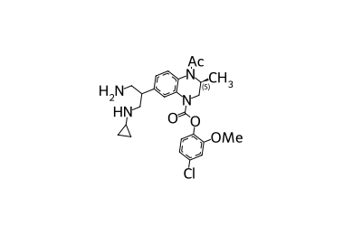 COc1cc(Cl)ccc1OC(=O)N1C[C@H](C)N(C(C)=O)c2ccc(C(CN)CNC3CC3)cc21